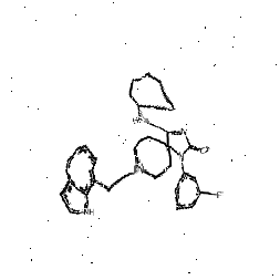 O=C1N=C(NC2CCCCC2)C2(CCN(Cc3cccc4cc[nH]c34)CC2)N1c1cccc(F)c1